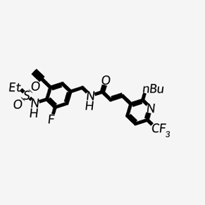 C#Cc1cc(CNC(=O)C=Cc2ccc(C(F)(F)F)nc2CCCC)cc(F)c1NS(=O)(=O)CC